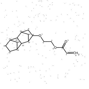 C=CC(=O)OCCOC1CC2CC1C1C3CCC(C3)C21